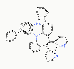 c1ccc(-c2cccc(N3c4ccccc4-c4c(c5cccnc5c5ncccc45)-c4ccc5c6ccccc6n(-c6ccccc6)c5c43)c2)cc1